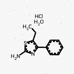 CCc1sc(N)nc1-c1ccccc1.Cl.O